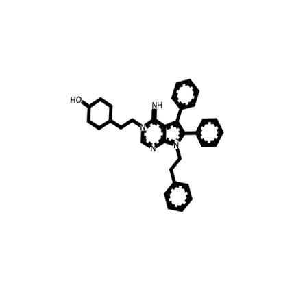 N=c1c2c(-c3ccccc3)c(-c3ccccc3)n(CCc3ccccc3)c2ncn1CCC1CCC(O)CC1